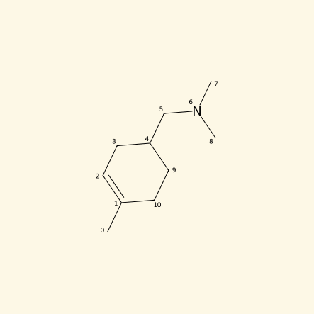 CC1=CCC(CN(C)C)CC1